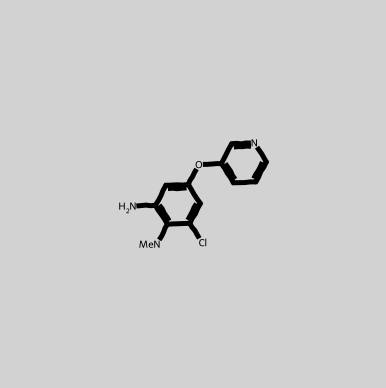 CNc1c(N)cc(Oc2cccnc2)cc1Cl